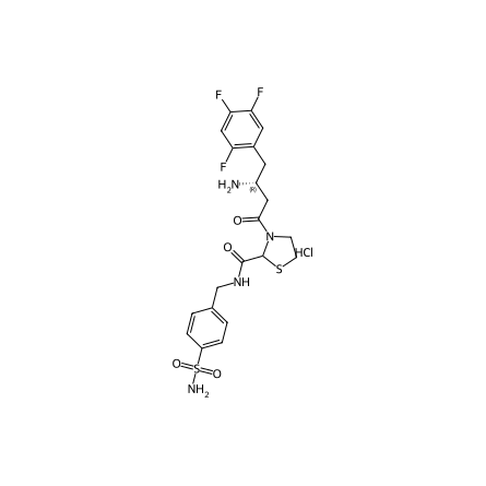 Cl.N[C@@H](CC(=O)N1CCSC1C(=O)NCc1ccc(S(N)(=O)=O)cc1)Cc1cc(F)c(F)cc1F